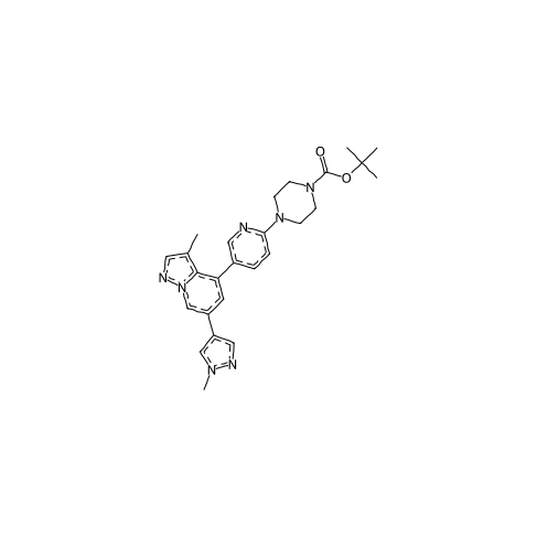 Cc1cnn2cc(-c3cnn(C)c3)cc(-c3ccc(N4CCN(C(=O)OC(C)(C)C)CC4)nc3)c12